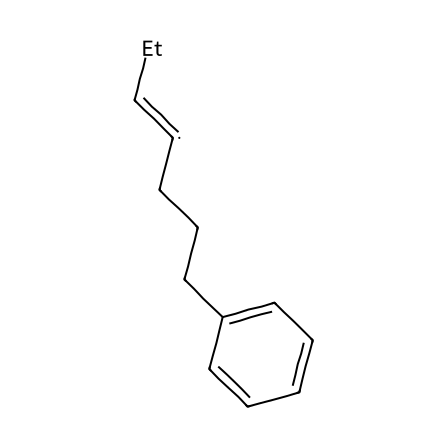 CCC=[C]CCCc1ccccc1